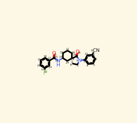 N#Cc1cccc(N2CC[C@]3(CCC[C@H](NC(=O)c4cccc(F)c4)C3)C2=O)c1